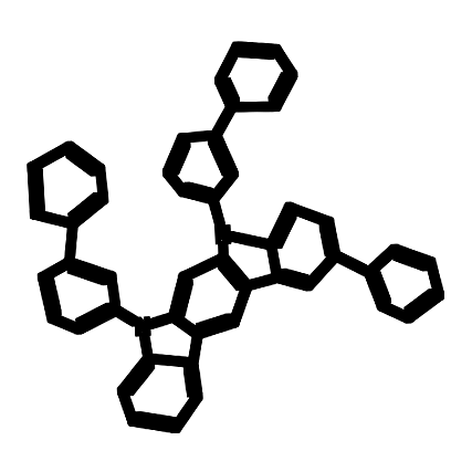 c1ccc(-c2cccc(-n3c4ccccc4c4cc5c6cc(-c7ccccc7)ccc6n(-c6cccc(-c7ccccc7)c6)c5cc43)c2)cc1